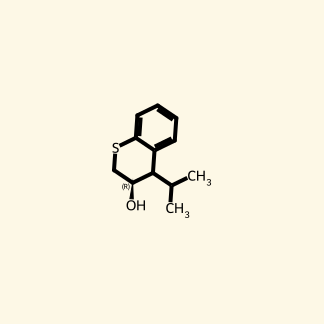 CC(C)C1c2ccccc2SC[C@@H]1O